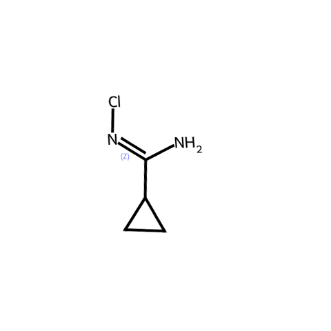 N/C(=N\Cl)C1CC1